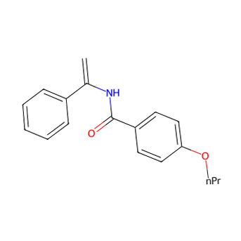 C=C(NC(=O)c1ccc(OCCC)cc1)c1ccccc1